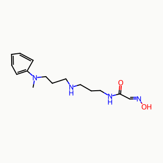 CN(CCCNCCCNC(=O)/C=N/O)c1ccccc1